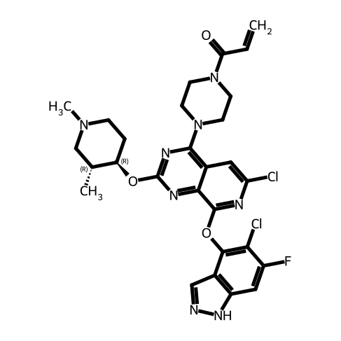 C=CC(=O)N1CCN(c2nc(O[C@@H]3CCN(C)C[C@H]3C)nc3c(Oc4c(Cl)c(F)cc5[nH]ncc45)nc(Cl)cc23)CC1